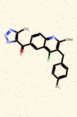 COc1nc2ccc(C(=O)c3[nH]nnc3C)cc2c(Cl)c1Cc1ccc(C(F)(F)F)cc1